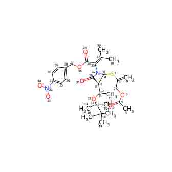 C=C(COC(C)=O)S[C@H]1[C@@H]([C@@H](C)O[Si](C)(C)C(C)(C)C)C(=O)N1C(C(=O)OCc1ccc([N+](=O)[O-])cc1)=C(C)C